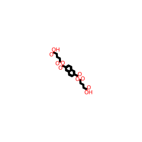 O=C(O)CCCC(=O)OC(=O)c1ccc2cc(C(=O)OC(=O)CCCC(=O)O)ccc2c1